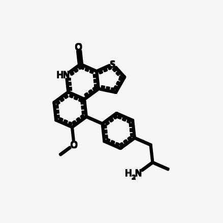 COc1ccc2[nH]c(=O)c3sccc3c2c1-c1ccc(CC(C)N)cc1